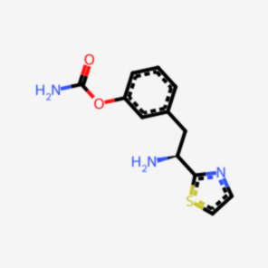 NC(=O)Oc1cccc(C[C@H](N)c2nccs2)c1